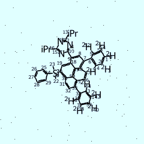 [2H]c1c([2H])c([2H])c(-c2cc(-c3nc(C(C)C)nc(C(C)C)n3)c3cc([Si](C)(C)c4ccccc4)c4ccc(-c5c([2H])c([2H])c([2H])c([2H])c5[2H])c5ccc2c3c54)c([2H])c1[2H]